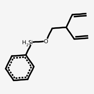 C=CC(C=C)CO[SiH2]c1ccccc1